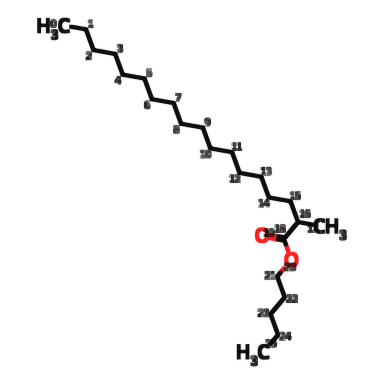 CCCCCCCCCCCCCCCCC(C)C(=O)OCCCCC